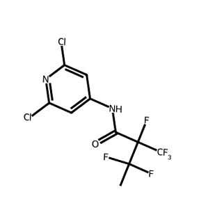 CC(F)(F)C(F)(C(=O)Nc1cc(Cl)nc(Cl)c1)C(F)(F)F